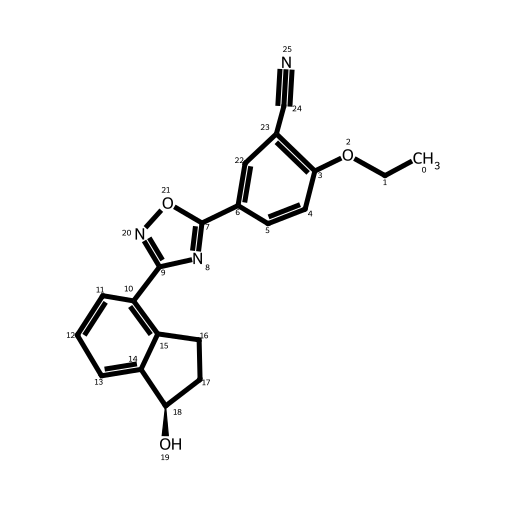 CCOc1ccc(-c2nc(-c3cccc4c3CC[C@H]4O)no2)cc1C#N